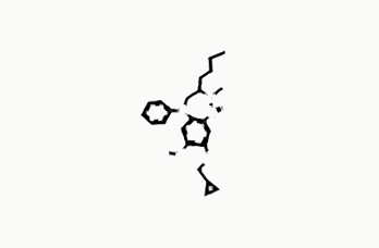 CCCCC1CN(c2ccccc2)c2cc(SC)c(OCC3CC3)cc2S(=O)(=O)N1C